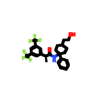 C[C@H](C(=O)NC1(c2ccccc2)CCC(CCO)CC1)c1cc(C(F)(F)F)cc(C(F)(F)F)c1